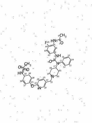 CC(=O)Nc1cc(NC(=O)N(c2ccccc2)C2CCN(Cc3ccc(OC4=CCC(NS(C)(=O)=O)C=C4)nc3)CC2)ccc1F